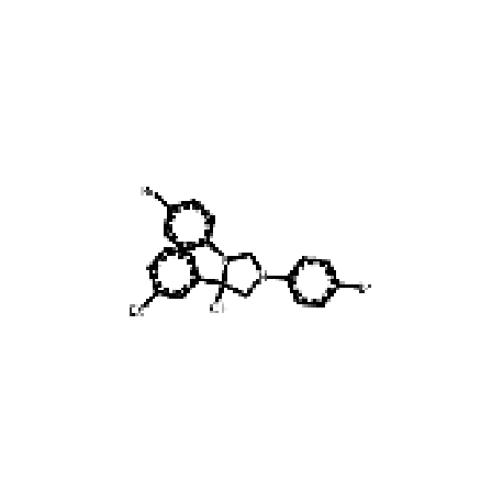 CCc1cccc(C2(O)CN(c3ccc(Br)cc3)CN2c2ccc(Br)cc2)c1